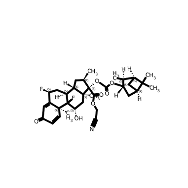 C[C@@H]1[C@@H](OC(=O)O[C@@]2(C(=O)OCC#N)[C@H](C)C[C@H]3[C@@H]4C[C@H](F)C5=CC(=O)C=C[C@]5(C)C4(F)[C@@H](O)C[C@@]32C)C[C@H]2C[C@@H]1C2(C)C